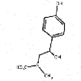 CN(CC(O)c1ccc(O)cc1)C(=O)O